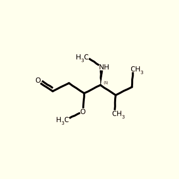 CCC(C)[C@H](NC)C(CC=O)OC